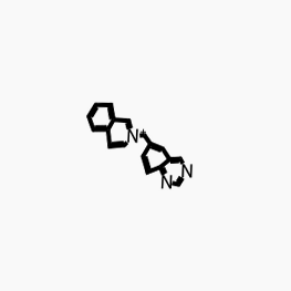 c1ccc2c[n+](Cc3ccc4ncncc4c3)ccc2c1